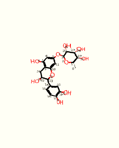 C[C@@H]1O[C@@H](Oc2cc(O)c3c(c2)OC(c2ccc(O)c(O)c2)C(O)C3)[C@H](O)[C@H](O)[C@H]1O